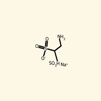 NCC(S(=O)(=O)[O-])S(=O)(=O)O.[Na+]